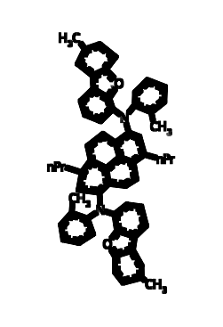 CCCc1cc(N(c2ccccc2C)c2cccc3c2oc2ccc(C)cc23)c2ccc3c(CCC)cc(N(c4ccccc4C)c4cccc5c4oc4ccc(C)cc45)c4ccc1c2c34